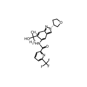 CC(C)(O)c1cc2nn([C@@H]3CCOC3)cc2cc1NC(=O)c1cccc(C(F)(F)F)n1